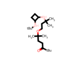 CC(C)(C)BC1CCC1BC(C)(C)CCOC(C)(C)CCC(=O)C(C)(C)C